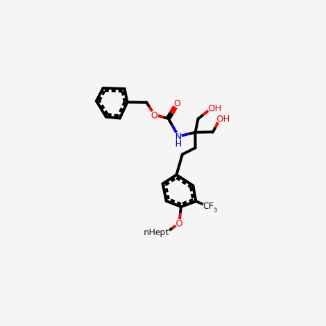 CCCCCCCOc1ccc(CCC(CO)(CO)NC(=O)OCc2ccccc2)cc1C(F)(F)F